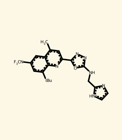 Cc1cc(-c2nnc(NCc3ncc[nH]3)o2)nc2c(C(C)(C)C)cc(NC(F)(F)F)cc12